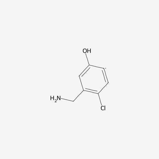 NCc1cc(O)[c]cc1Cl